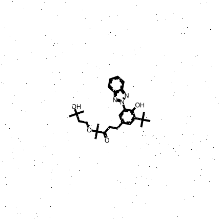 CC(C)(O)CCOC(C)(C)C(=O)CCc1cc(-n2nc3ccccc3n2)c(O)c(C(C)(C)C)c1